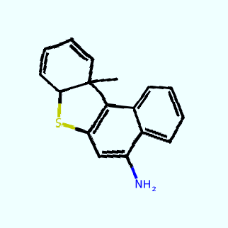 CC12C=CC=CC1Sc1cc(N)c3ccccc3c12